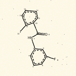 O=C(Nc1cccc(F)c1)c1ccccc1I